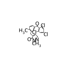 Cc1ccc(C(=O)c2c(Cl)cc(Cl)cc2Cl)cc1Cc1ccnn(C)c1=O